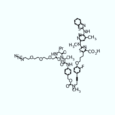 Cc1cc(N(C)c2nc(C(=O)O)c(CCCOc3ccc(C#CCN(C)C(=O)OCc4ccc(NC(=O)C(C)NC(=O)C(NC(=O)COCCOCCOCCN=[N+]=[N-])C(C)C)cc4)cc3F)s2)nnc1Nc1nc2ccccc2s1